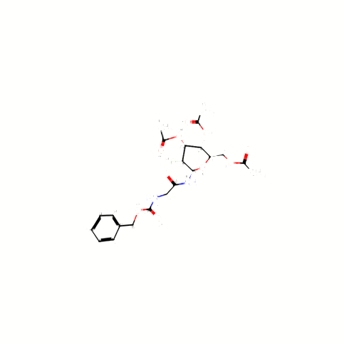 CC(=O)OC[C@H]1O[C@@H](NC(=O)CNC(=O)OCc2ccccc2)[C@H](F)[C@@H](OC(C)=O)[C@@H]1OC(C)=O